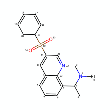 CCN(C)C(C)c1cccc2cc(S(=O)(=O)C3C=CC=CC3)cnc12